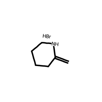 Br.C=C1CCCCN1